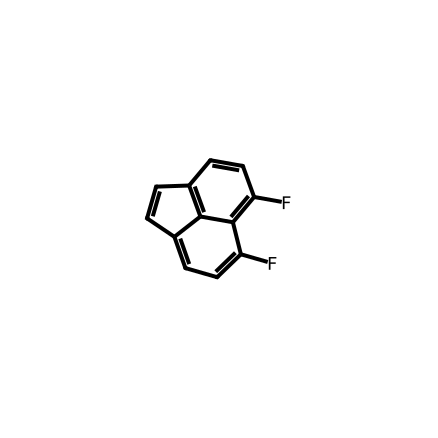 Fc1ccc2c3c(ccc(F)c13)C=C2